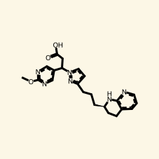 COc1ncc(C(CC(=O)O)n2ccc(CCC[C@@H]3CCc4cccnc4N3)n2)cn1